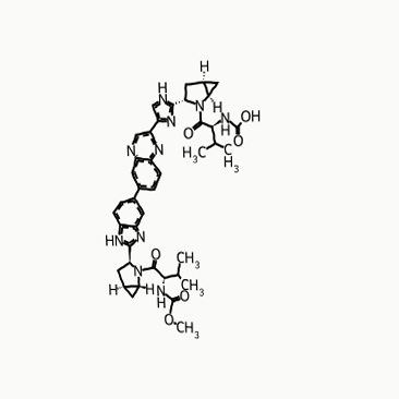 COC(=O)N[C@H](C(=O)N1[C@@H]2C[C@H]2C[C@H]1c1nc2cc(-c3ccc4nc(-c5c[nH]c([C@@H]6C[C@H]7C[C@H]7N6C(=O)[C@@H](NC(=O)O)C(C)C)n5)cnc4c3)ccc2[nH]1)C(C)C